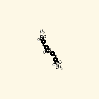 CCN1C(=O)c2ccc(CC3=CC4C(=O)C=C(c5ccc(Cc6ccc7c(c6)C(=O)N(CC)C7=O)cc5)OC4C=C3)cc2C1=O